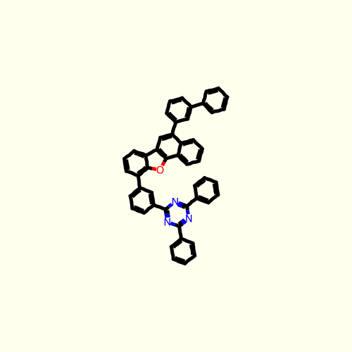 c1ccc(-c2cccc(-c3cc4c5cccc(-c6cccc(-c7nc(-c8ccccc8)nc(-c8ccccc8)n7)c6)c5oc4c4ccccc34)c2)cc1